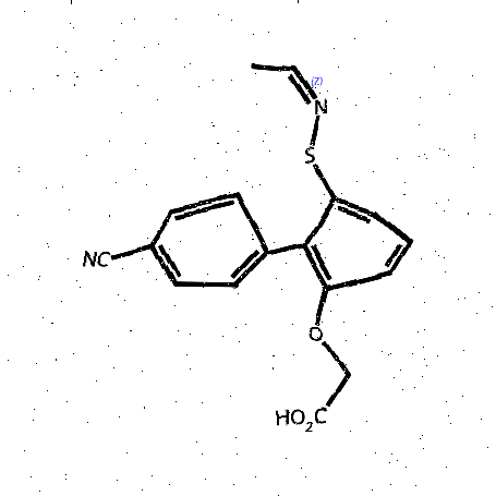 C/C=N\Sc1cccc(OCC(=O)O)c1-c1ccc(C#N)cc1